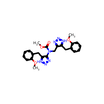 COC(=O)N(Cc1nn[nH]c1Cc1ccccc1OC)c1nn[nH]c1Cc1ccccc1OC